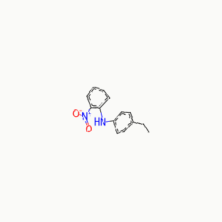 CCc1ccc(Nc2ccccc2[N+](=O)[O-])cc1